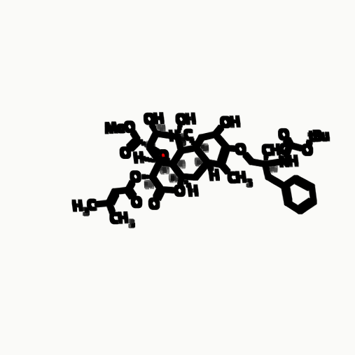 COC(=O)[C@@]12OC[C@]34C([C@@H](O)[C@@H]1O)[C@@]1(C)CC(O)C(OC[C@](C=O)(Cc5ccccc5)NC(=O)OC(C)(C)C)=C(C)[C@@H]1C[C@H]3OC(=O)[C@H](OC(=O)C=C(C)C)[C@@H]24